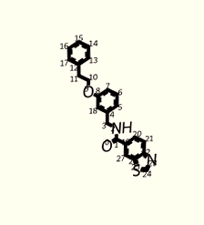 O=C(NCc1cccc(OCCc2ccccc2)c1)c1ccc2ncsc2c1